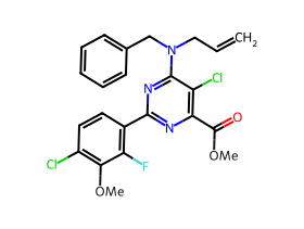 C=CCN(Cc1ccccc1)c1nc(-c2ccc(Cl)c(OC)c2F)nc(C(=O)OC)c1Cl